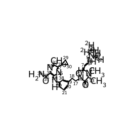 [2H]C([2H])([2H])N(C/C=C/C(=O)N(C)[C@@H](C)C(=O)NCCc1cccc(Nc2nc(C3CC3)c(C)nc2C(N)=O)c1)C([2H])([2H])[2H]